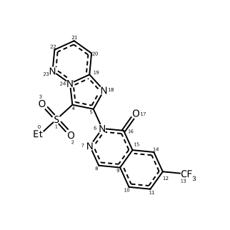 CCS(=O)(=O)c1c(-n2ncc3ccc(C(F)(F)F)cc3c2=O)nc2cccnn12